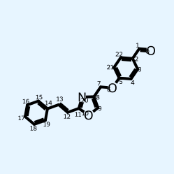 O=Cc1ccc(OCc2coc(C=Cc3ccccc3)n2)cc1